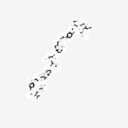 CC[C@H](C)[C@@H]([C@@H](CC(N)=O)OC)N(C)C(=O)CNC(=O)[C@H](C(C)C)N(C)C(=O)OCc1ccc(NC(=O)[C@H](C)NC(=O)[C@@H](NN2C(=O)CC(SCC(NC(=O)C(CSC3CC(=O)N(N[C@H](C(=O)N[C@@H](C)C(=O)Nc4ccc(COC(=O)N(C)[C@H](C(=O)NCC(=O)NC)C(C)C)cc4)C(C)C)C3=O)NC(=O)O)C(=O)O)C2=O)C(C)C)cc1